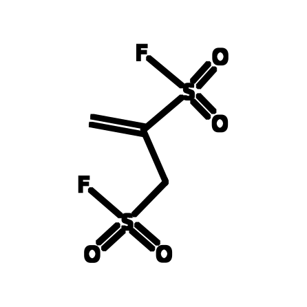 C=C(CS(=O)(=O)F)S(=O)(=O)F